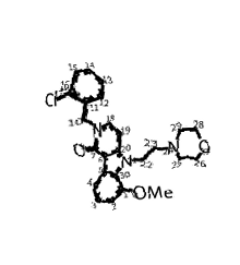 COc1cccc2c3c(=O)n(Cc4ccccc4Cl)ccc3n(CCN3CCOCC3)c12